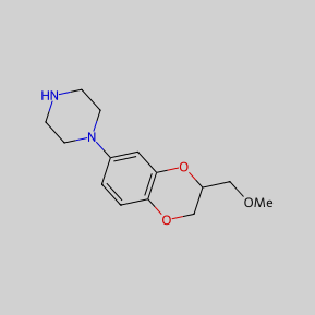 COCC1COc2ccc(N3CCNCC3)cc2O1